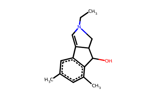 CCN1C=C2c3cc(C)cc(C)c3C(O)C2C1